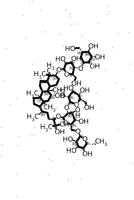 CC[C@H]1O[C@H](OC[C@H]2O[C@@H](O[C@H](CC[C@@H](C)C3CC[C@@]4(C)C5CC=C6C(CC[C@H](O[C@@H]7O[C@H](CO)[C@@H](O[C@H]8C[C@H](CO)[C@@H](O)[C@H](O)[C@H]8O)[C@H](O)[C@H]7O)C6(C)C)[C@]5(C)[C@H](O)C[C@]34C)C(C)(C)O)[C@H](O[C@@H]3O[C@H](CO)[C@@H](O)[C@H](O)[C@H]3O)[C@@H](O)[C@@H]2O)[C@H](O)[C@@H](O)[C@@H]1O